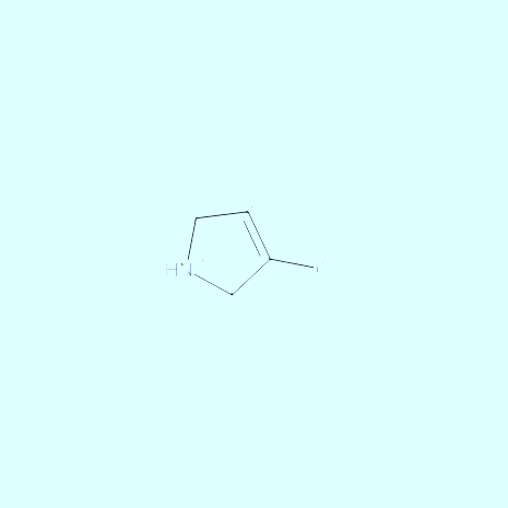 ClC1=C[CH]NC1